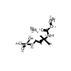 CCCOC(=O)NC(C)(C)CCOP(=O)(O)O.N